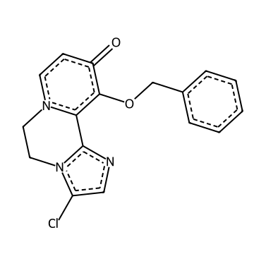 O=c1ccn2c(c1OCc1ccccc1)-c1ncc(Cl)n1CC2